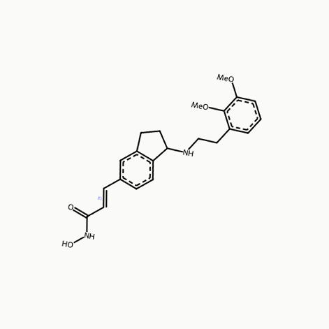 COc1cccc(CCNC2CCc3cc(/C=C/C(=O)NO)ccc32)c1OC